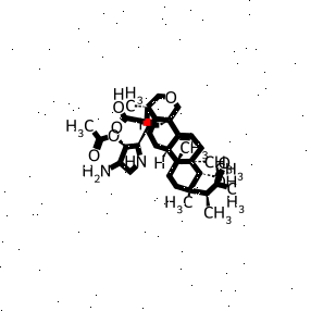 CC(=O)O[C@@H]1C(N)CN[C@@H]1C1C[C@@]23COC[C@](C)(C1C(=O)O)[C@H]2CC[C@H]1C3=CC[C@@]2(C)[C@H](C(=O)O)[C@@](C)([C@H](C)C(C)C)CC[C@]12C